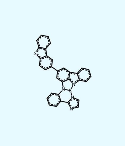 c1ccc2c(c1)-c1nccn1B1N2c2cc(-c3ccc4sc5ccccc5c4c3)cc3c4ccccc4n1c23